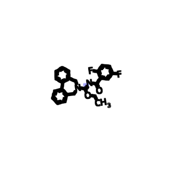 CCO/C(=N\C(=O)c1cc(F)ccc1F)N1Cc2ccccc2-c2ccccc2C1